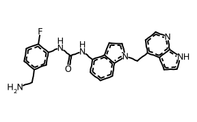 NCc1ccc(F)c(NC(=O)Nc2cccc3c2ccn3Cc2ccnc3[nH]ccc23)c1